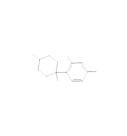 CCCC1CCC(O)(c2ccc(Br)cc2F)CC1